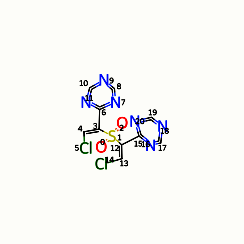 O=S(=O)(C(=CCl)c1ncncn1)C(=CCl)c1ncncn1